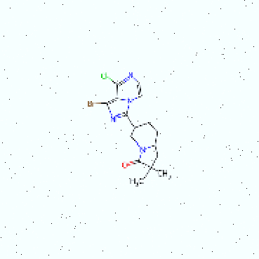 CC1(C)CC2CCC(c3nc(Br)c4c(Cl)nccn34)CN2C1=O